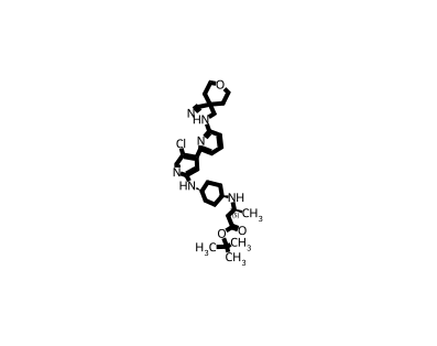 C[C@@H](CC(=O)OC(C)(C)C)N[C@H]1CC[C@H](Nc2cc(-c3cccc(NCC4(C#N)CCOCC4)n3)c(Cl)cn2)CC1